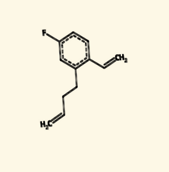 C=CCCc1cc(F)ccc1C=C